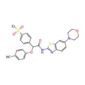 CCS(=O)(=O)c1ccc(C(Oc2ccc(C#N)cc2)C(=O)Nc2nc3ccc(N4CCOCC4)cc3s2)cc1